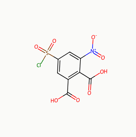 O=C(O)c1cc(S(=O)(=O)Cl)cc([N+](=O)[O-])c1C(=O)O